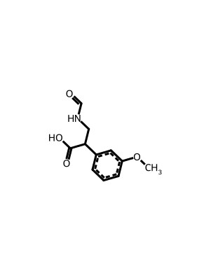 COc1cccc(C(CNC=O)C(=O)O)c1